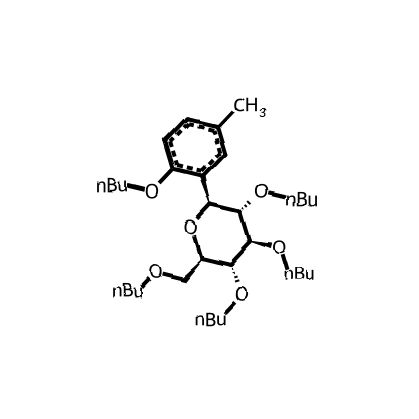 CCCCOC[C@H]1O[C@@H](c2cc(C)ccc2OCCCC)[C@H](OCCCC)[C@@H](OCCCC)[C@@H]1OCCCC